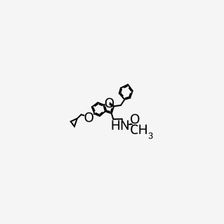 CC(=O)NCCc1c(Cc2ccccc2)oc2ccc(OCC3CC3)cc12